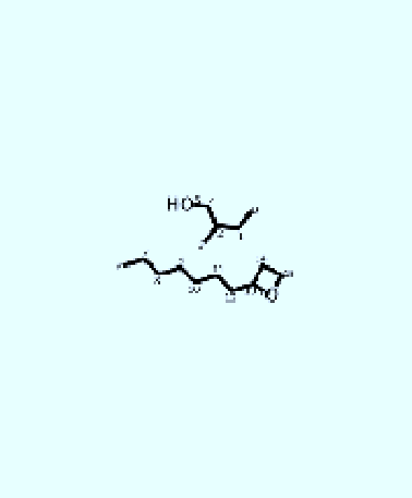 CCC(C)CO.CCCCCCCC1CCO1